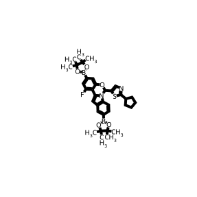 CC1(C)OB(c2cc(F)c3c(c2)OC(c2cnc(C4CCCC4)s2)n2c-3cc3cc(B4OC(C)(C)C(C)(C)O4)ccc32)OC1(C)C